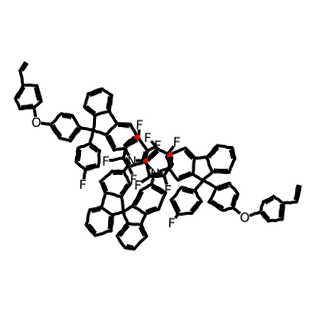 C=Cc1ccc(Oc2ccc(C3(c4ccc(F)cc4)c4ccccc4-c4ccc(N(c5ccc6c(c5)C5(c7ccccc7-6)c6ccccc6-c6ccc(N(c7ccc8c(c7)C(c7ccc(F)cc7)(c7ccc(Oc9ccc(C=C)cc9)cc7)c7ccccc7-8)c7c(F)c(F)cc(F)c7F)cc65)c5c(F)c(F)cc(F)c5F)cc43)cc2)cc1